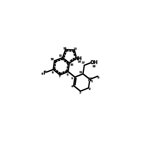 CN1CCC=C(c2cc(F)cc3cc[nH]c23)C1CO